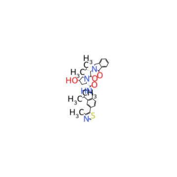 Cc1ncsc1-c1ccc(CNC(=O)[C@@H]2C[C@@H](O)CN2C(=O)[C@H](C(C)C)N2Cc3ccccc3C2=O)c(C(C)C)c1